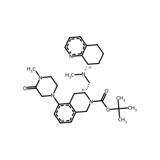 CN1CCN(c2cccc3c2C[C@H](CN(C)[C@H]2CCCc4cccnc42)N(C(=O)OC(C)(C)C)C3)CC1=O